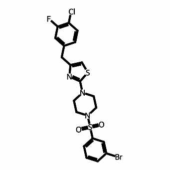 O=S(=O)(c1cccc(Br)c1)N1CCN(c2nc(Cc3ccc(Cl)c(F)c3)cs2)CC1